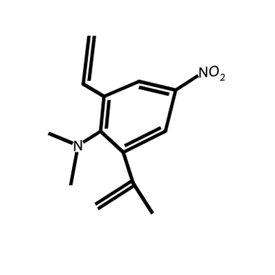 C=Cc1cc([N+](=O)[O-])cc(C(=C)C)c1N(C)C